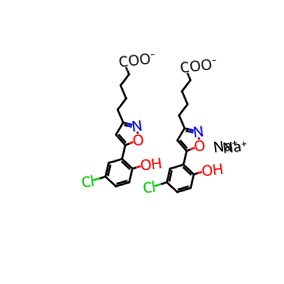 O=C([O-])CCCCc1cc(-c2cc(Cl)ccc2O)on1.O=C([O-])CCCCc1cc(-c2cc(Cl)ccc2O)on1.[Na+].[Na+]